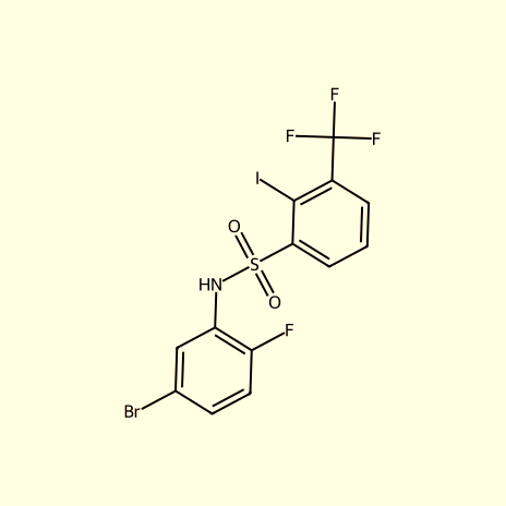 O=S(=O)(Nc1cc(Br)ccc1F)c1cccc(C(F)(F)F)c1I